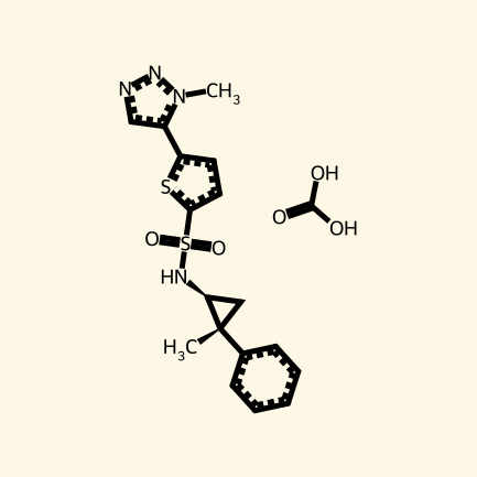 Cn1nncc1-c1ccc(S(=O)(=O)N[C@H]2C[C@]2(C)c2ccccc2)s1.O=C(O)O